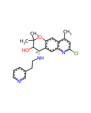 Cc1cc(Cl)nc2cc3c(cc12)OC(C)(C)C(O)[C@H]3NCCc1cccnc1